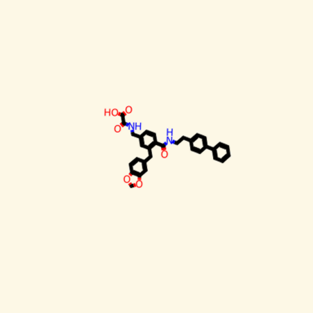 O=C(O)C(=O)NCc1ccc(C(=O)NCCc2ccc(-c3ccccc3)cc2)c(Cc2ccc3c(c2)OCO3)c1